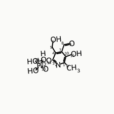 Cc1ncc(CO)c(C=O)c1O.O.O=P(O)(O)O